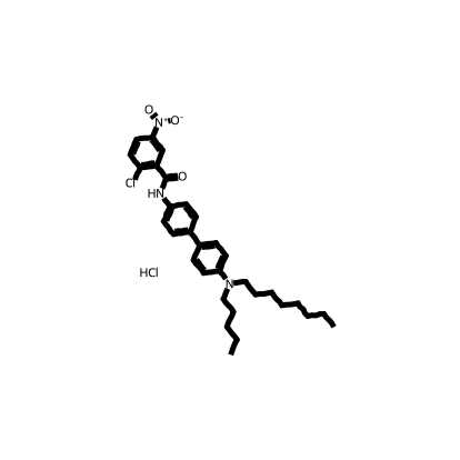 CCCCCCCCN(CCCCC)c1ccc(-c2ccc(NC(=O)c3cc([N+](=O)[O-])ccc3Cl)cc2)cc1.Cl